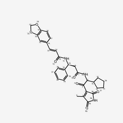 CC1=C(C(=O)C(NC(=O)C[C@H](NC(=O)/C=C/c2ccc3c(c2)OCO3)c2ccccc2)C2CCCC2)C(=O)NC1=O